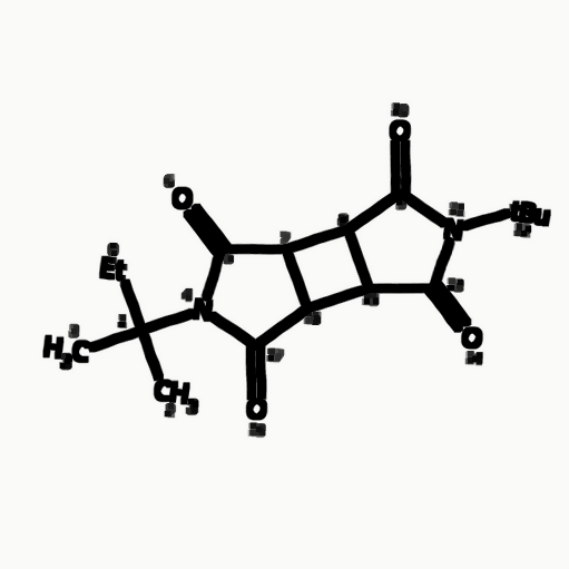 CCC(C)(C)N1C(=O)C2C3C(=O)N(C(C)(C)C)C(=O)C3C2C1=O